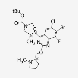 C[C@@H]1CN(C(=O)OC(C)(C)C)CCN1c1nc(OC[C@@H]2CCCN2C)nc2c(F)c(Br)c(Cl)cc12